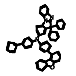 c1ccc(-c2ccc(N(c3ccc(-c4cccc5oc6ccccc6c45)cc3)c3ccc4c(c3)C(c3ccccc3)(c3ccccc3)c3nc5ccccc5n3-4)cc2)cc1